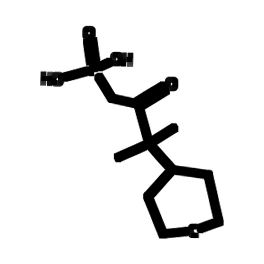 CC(C)(C(=O)CP(=O)(O)O)C1CCCCC1